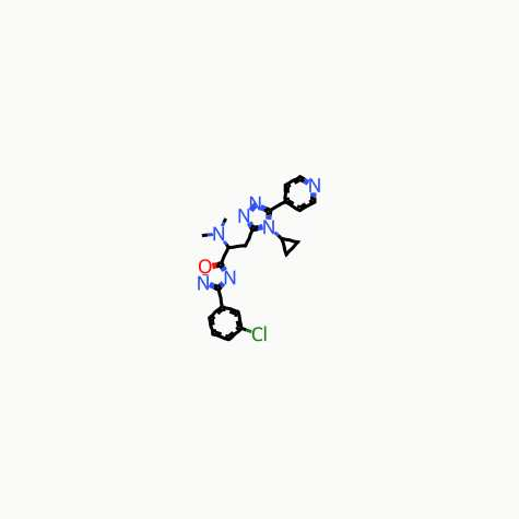 CN(C)C(Cc1nnc(-c2ccncc2)n1C1CC1)c1nc(-c2cccc(Cl)c2)no1